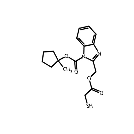 CC1(OC(=O)n2c(COC(=O)CS)nc3ccccc32)CCCC1